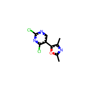 Cc1nc(C)c(-c2cnc(Cl)nc2Cl)o1